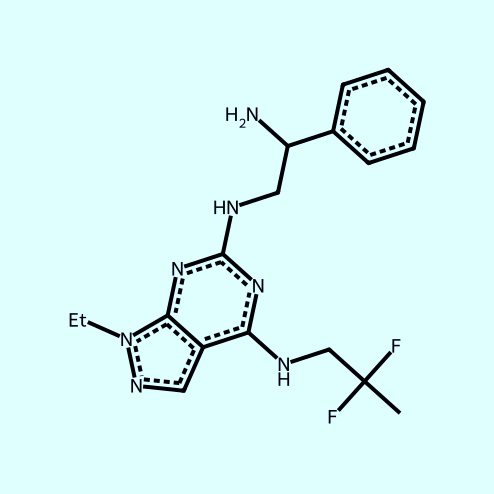 CCn1ncc2c(NCC(C)(F)F)nc(NCC(N)c3ccccc3)nc21